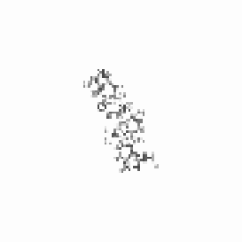 CNc1ccc(C(c2ccc(C)c(CN3CCOc4cc5c(cnn5C)cc4C3)c2)C(C)(C)C)c(C)c1N